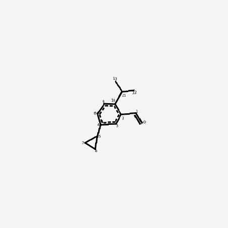 C=Cc1cc(C2CC2)ccc1C(C)C